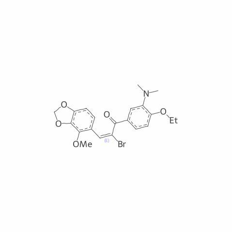 CCOc1ccc(C(=O)/C(Br)=C\c2ccc3c(c2OC)OCO3)cc1N(C)C